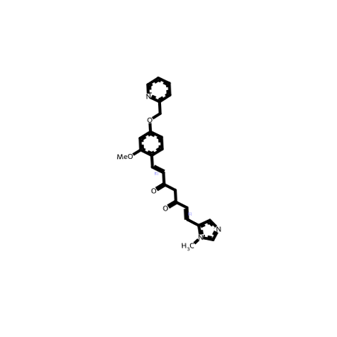 COc1cc(OCc2ccccn2)ccc1/C=C/C(=O)CC(=O)/C=C/c1cncn1C